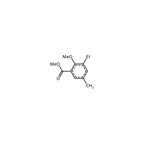 CCc1cc(C)cc(C(=O)OC)c1OC